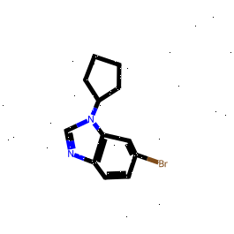 Brc1ccc2ncn(C3CCCC3)c2c1